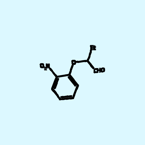 CCC(C=O)Oc1ccccc1[N+](=O)[O-]